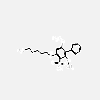 CCCCCCPc1cc(OC)c(-c2ccccc2)c(OC)c1S(=O)(=O)O